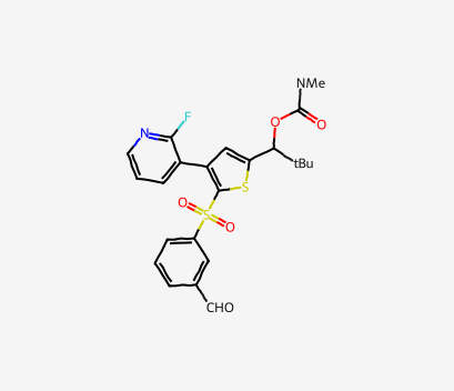 CNC(=O)OC(c1cc(-c2cccnc2F)c(S(=O)(=O)c2cccc(C=O)c2)s1)C(C)(C)C